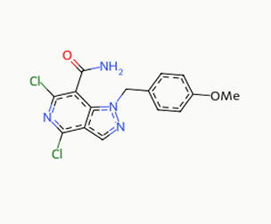 COc1ccc(Cn2ncc3c(Cl)nc(Cl)c(C(N)=O)c32)cc1